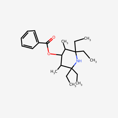 CCC1(CC)NC(CC)(CC)C(C)C(OC(=O)c2ccccc2)C1C